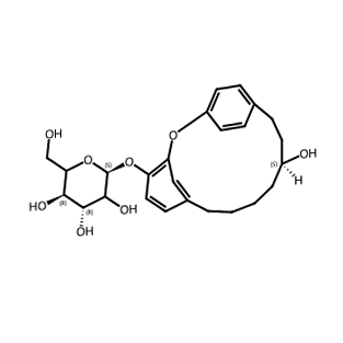 OCC1O[C@@H](Oc2ccc3cc2Oc2ccc(cc2)CC[C@@H](O)CCCC3)C(O)[C@H](O)[C@H]1O